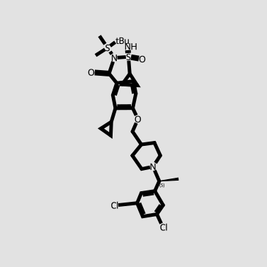 C[C@@H](c1cc(Cl)cc(Cl)c1)N1CCC(COc2ccc(C(=O)N(S(C)(C)C(C)(C)C)S(=N)(=O)C3CC3)cc2C2CC2)CC1